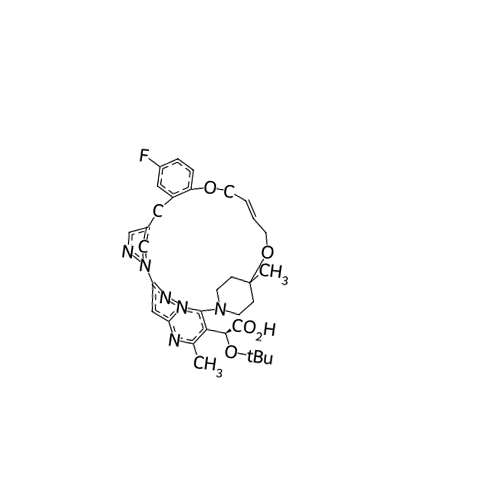 Cc1nc2cc3nn2c(c1[C@H](OC(C)(C)C)C(=O)O)N1CCC(C)(CC1)OC/C=C/COc1ccc(F)cc1Cc1cnn-3c1